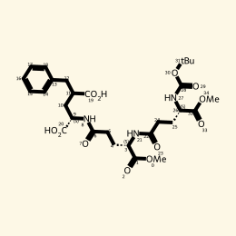 COC(=O)[C@H](CCC(=O)N[C@@H](CC(Cc1ccccc1)C(=O)O)C(=O)O)NC(=O)CC[C@H](NC(=O)OC(C)(C)C)C(=O)OC